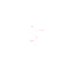 C=CC(=O)Oc1c[c]cc(C)c1O